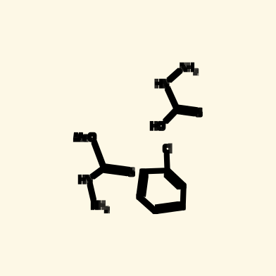 COC(=S)NN.Clc1ccccc1.NNC(O)=S